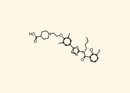 CCCCN(C(=O)c1cccc(F)c1Cl)c1nnc(-c2cc(C)c(OCCN3CCC(C(=O)O)CC3)c(C)c2)s1